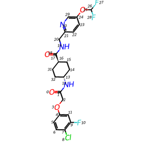 O=C(COc1ccc(Cl)c(F)c1)N[C@H]1CC[C@H](C(=O)NCc2ccc(OC(F)F)cn2)CC1